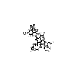 CCOc1ncccc1-c1ccc(N2CCN(C(=O)c3ccc(Cl)cc3C(F)(F)F)C[C@H]2CC)c(C(=O)NC[C@@H]2CCN2)c1F